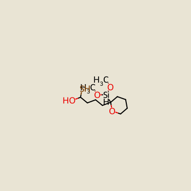 CO[SiH](OC)C1(CCCC(O)S)CCCCO1